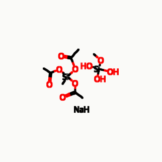 CC(=O)O[Si](C)(OC(C)=O)OC(C)=O.CO[Si](O)(O)O.[NaH]